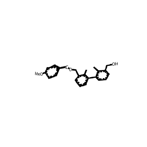 COc1ccc(COCc2cccc(-c3cccc(CO)c3C)c2C)cc1